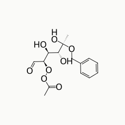 CC(=O)OO[C@@H](C=O)[C@@H](O)[C@@H](O)[C@@](C)(O)OCc1ccccc1